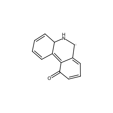 O=C1C=CC=C2[C]NC3C=CC=CC3=C12